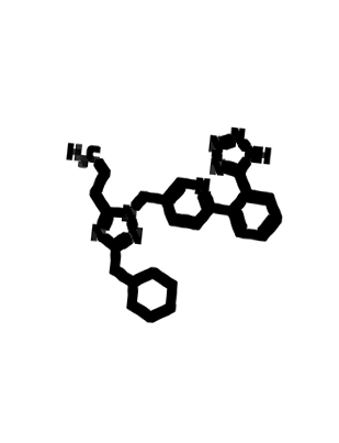 CCCc1nc(CC2CCCCC2)nn1Cc1ccc(-c2ccccc2-c2nnn[nH]2)nc1